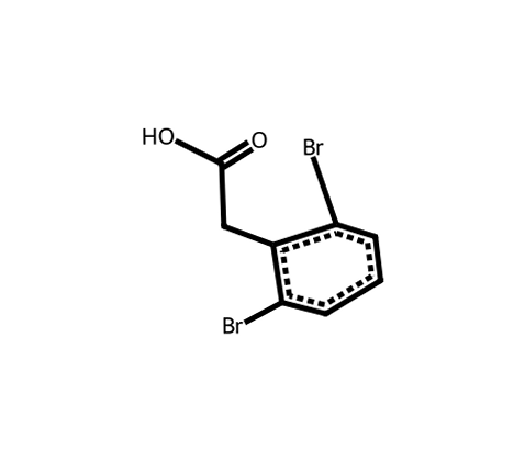 O=C(O)Cc1c(Br)cccc1Br